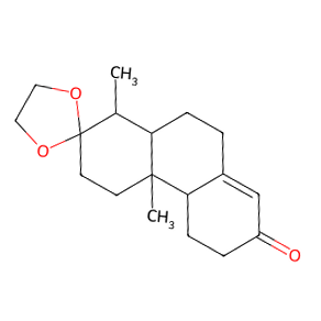 CC1C2CCC3=CC(=O)CCC3C2(C)CCC12OCCO2